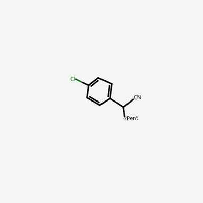 CCCCCC(C#N)c1ccc(Cl)cc1